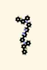 c1cc(-c2ccc(-c3ccc(-c4cccc(-n5c6ccccc6c6c7sc8ccccc8c7ccc65)c4)cn3)nc2)cc(-n2c3ccccc3c3c4sc5ccccc5c4ccc32)c1